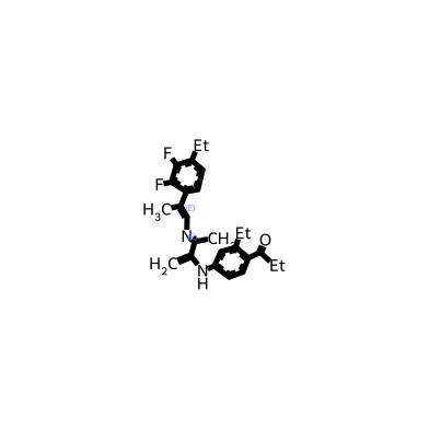 C=C(Nc1ccc(C(=O)CC)c(CC)c1)/C(C)=N/C=C(\C)c1ccc(CC)c(F)c1F